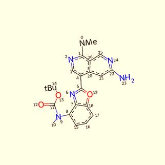 CNc1ncc(-c2nc3c(N(C)C(=O)OC(C)(C)C)cccc3o2)c2cc(N)ncc12